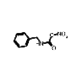 O=C(NCc1ccccc1)O[N+](=O)[O-]